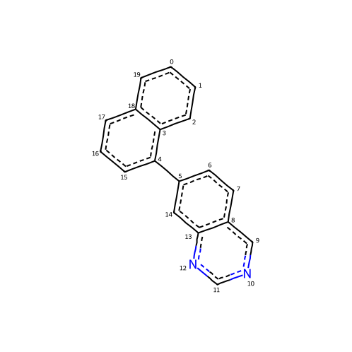 c1ccc2c(-c3ccc4cncnc4c3)cccc2c1